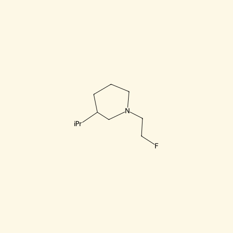 CC(C)C1CCCN(CCF)C1